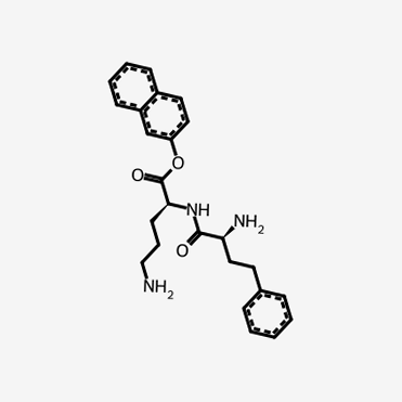 NCCC[C@H](NC(=O)[C@@H](N)CCc1ccccc1)C(=O)Oc1ccc2ccccc2c1